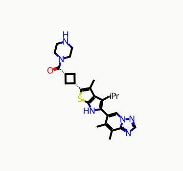 Cc1c(-c2[nH]c3sc([C@H]4C[C@@H](C(=O)N5CCNCC5)C4)c(C)c3c2C(C)C)cn2ncnc2c1C